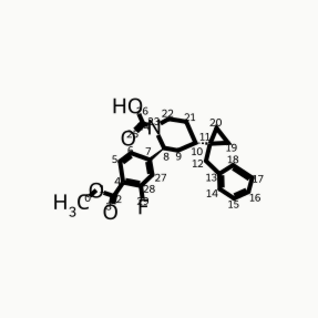 COC(=O)c1ccc([C@@H]2C[C@@H](C3(Cc4ccccc4)CC3)CCN2C(=O)O)cc1F